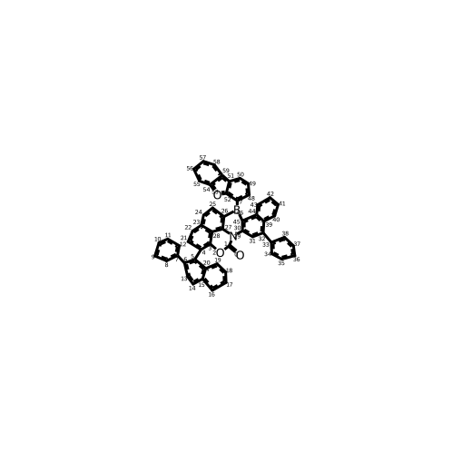 O=C1Oc2c(-c3c(-c4ccccc4)ccc4ccccc34)ccc3ccc4c(c23)N1c1cc(-c2ccccc2)c2ccccc2c1B4c1cccc2c1oc1ccccc12